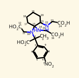 CC(C(=O)O)(c1ccc([N+](=O)[O-])cc1)N(CC(=O)O)C1(NCC(=O)O)CCCCC1NCC(=O)O